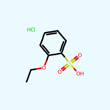 CCOc1ccccc1S(=O)(=O)O.Cl